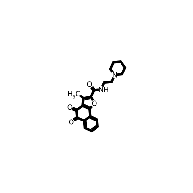 Cc1c(C(=O)NCCN2CCCCC2)oc2c1C(=O)C(=O)c1ccccc1-2